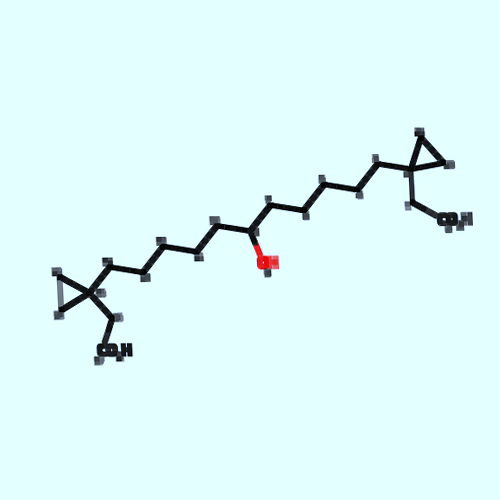 O=C(O)CC1(CCCCCC(O)CCCCCC2(CC(=O)O)CC2)CC1